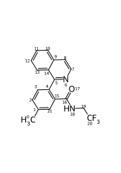 Cc1ccc(-c2nccc3ccccc23)c(C(=O)NCC(F)(F)F)c1